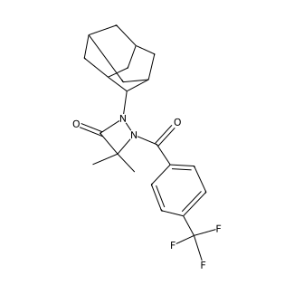 CC1(C)C(=O)N(C2C3CC4CC(C3)CC2C4)N1C(=O)c1ccc(C(F)(F)F)cc1